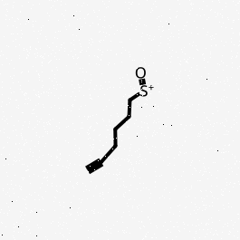 C#CCCCC[S+]=O